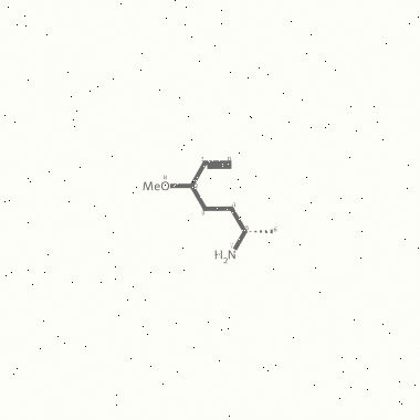 C=CC(CC[C@H](C)N)OC